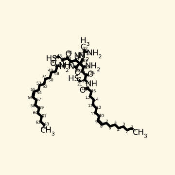 CCCCCCCC/C=C\CCCCCCCC(=O)N[C@@H](CS)C(=O)CC(N)C(C=NC(C)N)(C(N)=O)C(N)CC(=O)[C@H](CS)NC(=O)CCCCCCC/C=C\CCCCCCCC